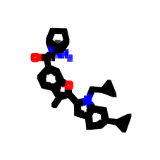 Cc1c(-c2cc3ccc(C4CC4)cc3n2CC2CC2)oc2cc(C(=O)N3CC4CCC3[C@@H]4N)ccc12